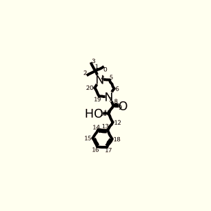 CC(C)(C)N1CCN(C(=O)C(O)Cc2ccccc2)CC1